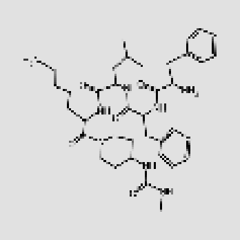 CNC(=O)NC1CCN(C(=O)C(CCCCN)NC(=O)C(CC(C)C)NC(=O)C(Cc2ccccc2)NC(=O)C(N)Cc2ccccc2)CC1